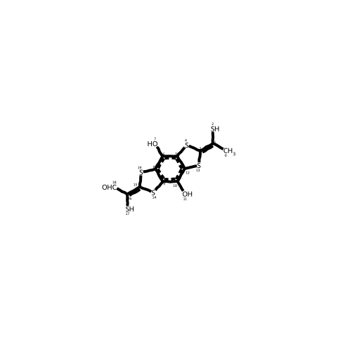 CC(S)=C1Sc2c(O)c3c(c(O)c2S1)SC(=C(S)C=O)S3